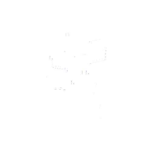 O=C(O)c1cccc(NCCCO)c1-c1cnc2cccnn12